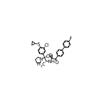 C[C@@H](NC(=O)C(=O)c1ccc(-c2ccc(F)cc2)cc1)[C@@](O)(c1ccc(SC2CC2)c(Cl)c1)N1CCCC1